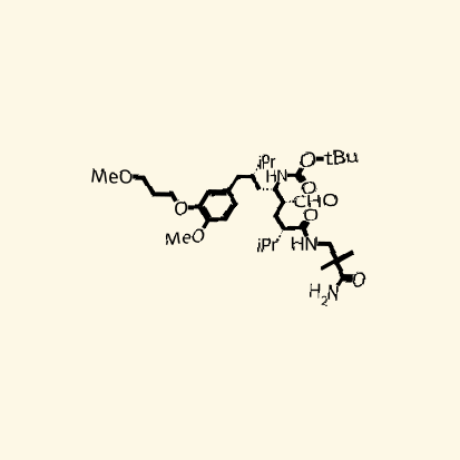 COCCCOc1cc(C[C@@H](C[C@H](NC(=O)OC(C)(C)C)[C@H](C=O)C[C@H](C(=O)NCC(C)(C)C(N)=O)C(C)C)C(C)C)ccc1OC